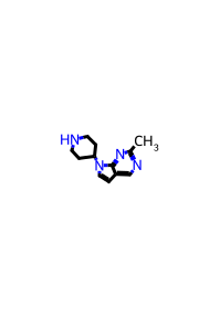 Cc1ncc2ccn(C3CCNCC3)c2n1